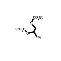 CCCC(COC(=O)OCC)OC(=O)OCC